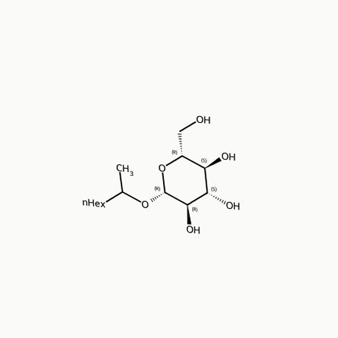 CCCCCCC(C)O[C@@H]1O[C@H](CO)[C@@H](O)[C@H](O)[C@H]1O